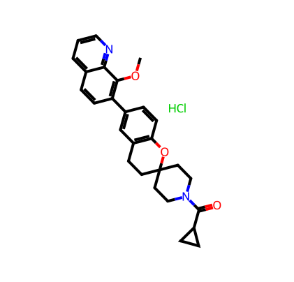 COc1c(-c2ccc3c(c2)CCC2(CCN(C(=O)C4CC4)CC2)O3)ccc2cccnc12.Cl